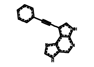 C(#Cc1c[nH]c2ncc3[nH]cnc3c12)c1ccccc1